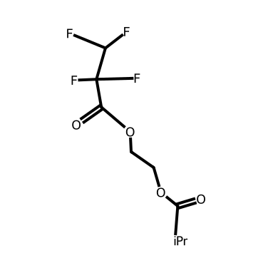 CC(C)C(=O)OCCOC(=O)C(F)(F)C(F)F